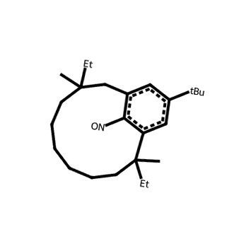 CCC1(C)CCCCCCC(C)(CC)c2cc(C(C)(C)C)cc(c2N=O)C1